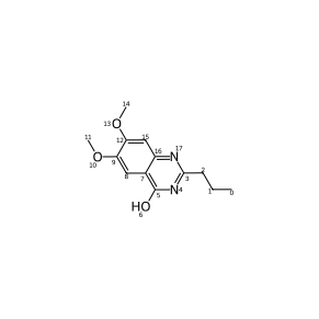 CCCc1nc(O)c2cc(OC)c(OC)cc2n1